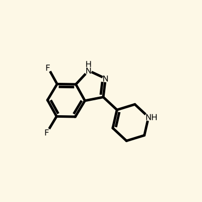 Fc1cc(F)c2[nH]nc(C3=CCCNC3)c2c1